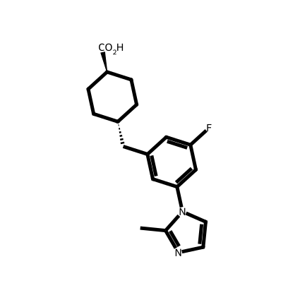 Cc1nccn1-c1cc(F)cc(C[C@H]2CC[C@H](C(=O)O)CC2)c1